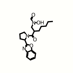 CCCCCC(CN(O)C=O)C(=O)N1CCCC1c1nc2ccccc2o1